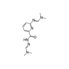 CN(C)C=NNC(=O)c1cccc(N=CN(C)C)n1